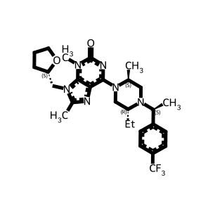 CC[C@@H]1CN(c2nc(=O)n(C)c3c2nc(C)n3C[C@@H]2CCCO2)[C@@H](C)CN1[C@@H](C)c1ccc(C(F)(F)F)cc1